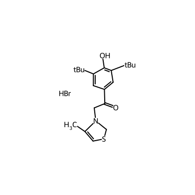 Br.CC1=CSCN1CC(=O)c1cc(C(C)(C)C)c(O)c(C(C)(C)C)c1